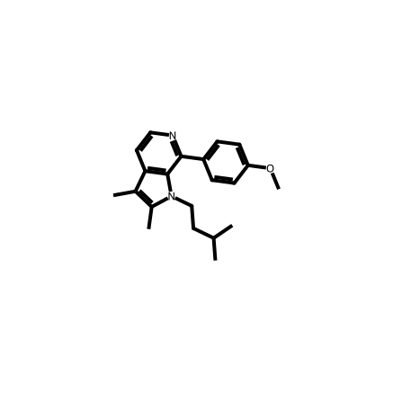 COc1ccc(-c2nccc3c(C)c(C)n(CCC(C)C)c23)cc1